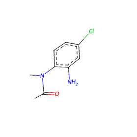 CC(=O)N(C)c1ccc(Cl)cc1N